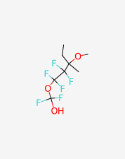 CCC(C)(OC)C(F)(F)C(F)(F)OC(O)(F)F